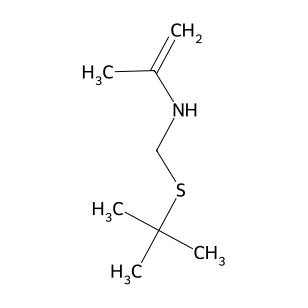 C=C(C)NCSC(C)(C)C